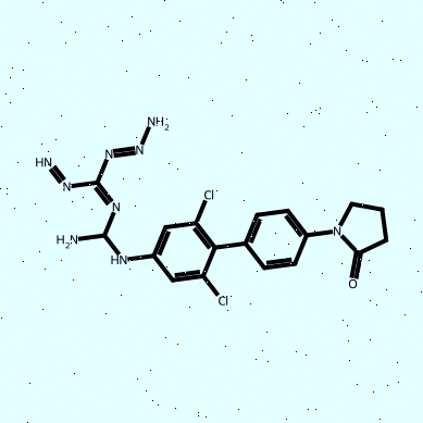 N=N/C(N=NN)=N\C(N)Nc1cc(Cl)c(-c2ccc(N3CCCC3=O)cc2)c(Cl)c1